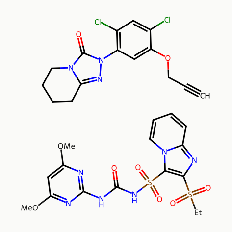 C#CCOc1cc(-n2nc3n(c2=O)CCCC3)c(Cl)cc1Cl.CCS(=O)(=O)c1nc2ccccn2c1S(=O)(=O)NC(=O)Nc1nc(OC)cc(OC)n1